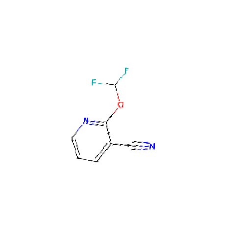 N#Cc1cccnc1OC(F)F